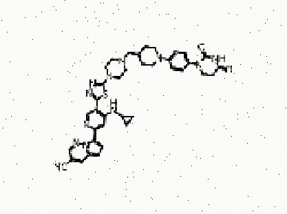 N#Cc1cnn2c(-c3cc(NC4CC4)c(-c4nnc(N5CCN(CC6CCN(c7ccc(N8CCC(=O)NC8=O)cc7)CC6)CC5)s4)cn3)ccc2c1